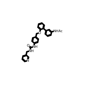 CC(=O)Nc1cccc(-c2ccccc2OCc2ccc(NC(=O)NCc3cccnc3)cc2)c1